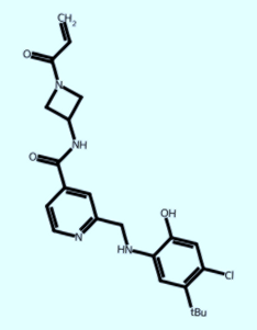 C=CC(=O)N1CC(NC(=O)c2ccnc(CNc3cc(C(C)(C)C)c(Cl)cc3O)c2)C1